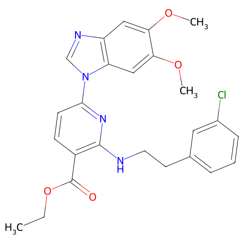 CCOC(=O)c1ccc(-n2cnc3cc(OC)c(OC)cc32)nc1NCCc1cccc(Cl)c1